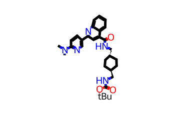 CN(C)c1ccc(-c2cc(C(=O)NC[C@H]3CC[C@H](CNC(=O)OC(C)(C)C)CC3)c3ccccc3n2)cn1